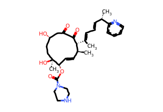 C/C(=C\C=C\[C@H](C)c1ccccn1)[C@H]1C(=O)C(=O)C[C@@H](O)CC[C@](C)(O)[C@@H](OC(=O)N2CCNCC2)/C=C/[C@@H]1C